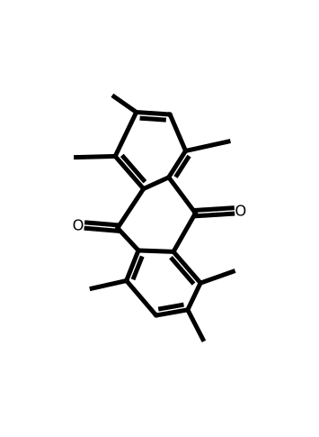 Cc1cc(C)c2c(c1C)C(=O)c1c(C)cc(C)c(C)c1C2=O